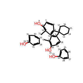 Cc1cc(C2(c3ccc(O)c(C)c3)CCCCC2)ccc1O.Oc1ccccc1.Oc1ccccc1